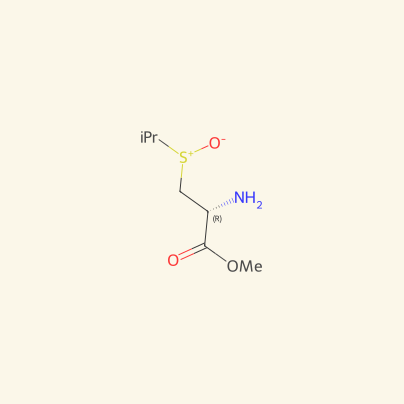 COC(=O)[C@@H](N)C[S+]([O-])C(C)C